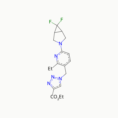 CCOC(=O)c1cn(Cc2ccc(N3CC4C(C3)C4(F)F)nc2CC)nn1